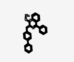 CC(C)(C)OC(=O)C(Cc1ccc(-c2ccccc2)cc1)N=C(c1ccccc1)c1ccccc1